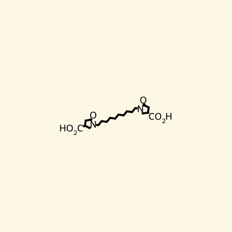 O=C(O)C1CC(=O)N(CCCCCCCCCCN2CC(C(=O)O)CC2=O)C1